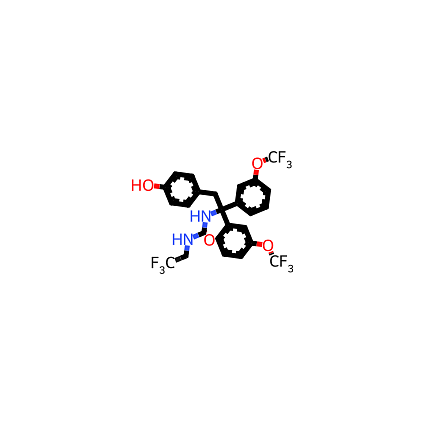 O=C(NCC(F)(F)F)NC(Cc1ccc(O)cc1)(c1cccc(OC(F)(F)F)c1)c1cccc(OC(F)(F)F)c1